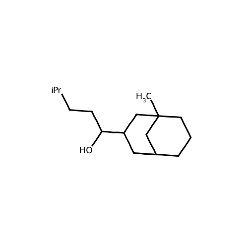 CC(C)CCC(O)C1CC2CCCC(C)(C2)C1